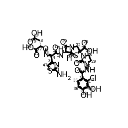 Nc1nc(/C(=N/O[C@@H](CC(=O)O)C(=O)O)C(=O)N[C@@H]2C(=O)N3C[C@@](C(=O)O)(N4CCN(NC(=O)c5ccc(O)c(O)c5Cl)C4=O)S[C@H]23)cs1